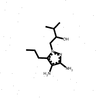 CCCc1c(N)c(N)nn1CC(O)C(C)C